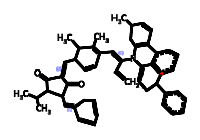 C=C/C(=C\C1=C(C)C(C)C(/C=C2\C(=O)C(/C=C3/C=CC=CC3)C(C(C)C)C2=O)C=C1)N(C1=CCC(c2ccccc2)C=C1)C1=C(c2ccccc2)C=CC(C)C1